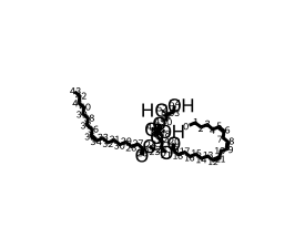 CCCCC/C=C\C/C=C\C/C=C\CCCCCCC(=O)O[C@H](COC(=O)CCCCCCC/C=C\CCCCCCCC)COP(=O)(O)OC[C@@H](O)CO